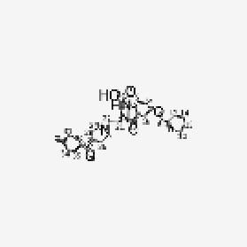 O=C(O)Nc1ccc(OCc2ccccc2)cc1C(=O)NCCN1CCC(C(=O)c2ccc(F)cc2)CC1